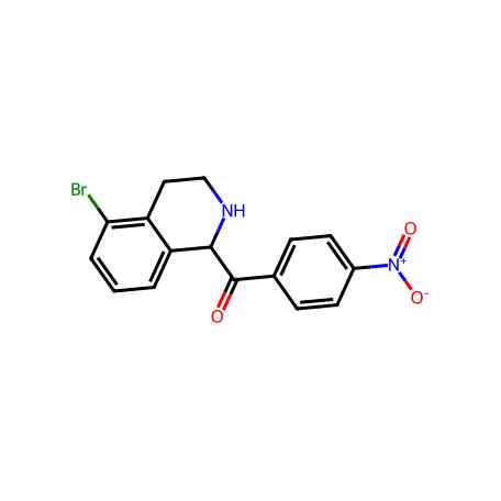 O=C(c1ccc([N+](=O)[O-])cc1)C1NCCc2c(Br)cccc21